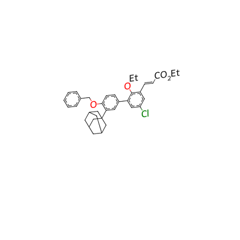 CCOC(=O)/C=C/c1cc(Cl)cc(-c2ccc(OCc3ccccc3)c(C34CC5CC(CC(C5)C3)C4)c2)c1OCC